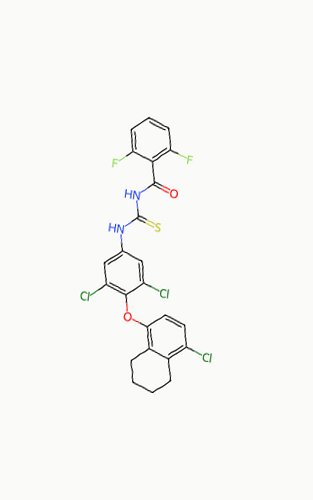 O=C(NC(=S)Nc1cc(Cl)c(Oc2ccc(Cl)c3c2CCCC3)c(Cl)c1)c1c(F)cccc1F